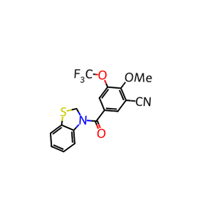 COc1c(C#N)cc(C(=O)N2CSc3ccccc32)cc1OC(F)(F)F